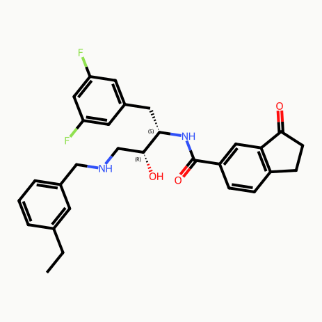 CCc1cccc(CNC[C@@H](O)[C@H](Cc2cc(F)cc(F)c2)NC(=O)c2ccc3c(c2)C(=O)CC3)c1